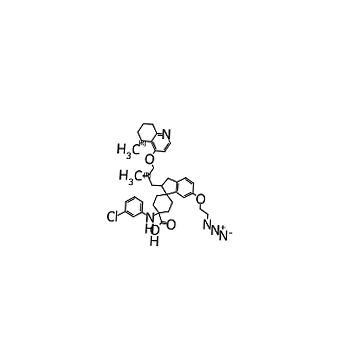 C[C@@H](COc1ccnc2c1[C@H](C)CCC2)CC1Cc2ccc(OCCN=[N+]=[N-])cc2C12CCC(Nc1cccc(Cl)c1)(C(=O)O)CC2